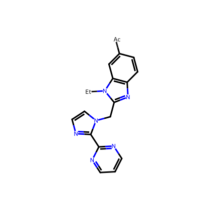 CCn1c(Cn2ccnc2-c2ncccn2)nc2ccc(C(C)=O)cc21